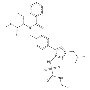 CCNC(=O)S(=O)(=O)Nc1sc(CC(C)C)cc1-c1ccc(CN(C(=O)c2ccccc2)C(C(=O)OC)C(C)C)cc1